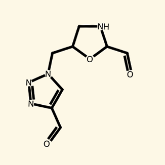 O=Cc1cn(CC2CNC(C=O)O2)nn1